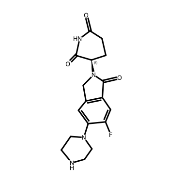 O=C1CC[C@@H](N2Cc3cc(N4CCNCC4)c(F)cc3C2=O)C(=O)N1